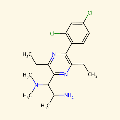 CCc1nc(C(C(C)N)N(C)C)c(CC)nc1-c1ccc(Cl)cc1Cl